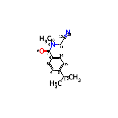 CC(C)c1ccc(C(=O)N(C)CC#N)cc1